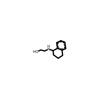 OCCNC1CCCc2ccccc21